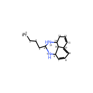 CC(C)CCCC1NC2C=CC=C3C=CCC(N1)C32